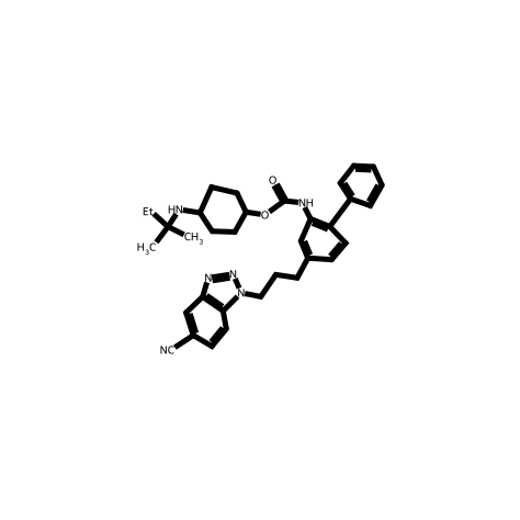 CCC(C)(C)NC1CCC(OC(=O)Nc2cc(CCCn3nnc4cc(C#N)ccc43)ccc2-c2ccccc2)CC1